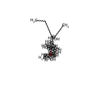 CCCCCCCC/C=C\CCCCCCCCCCCCCCCC(=O)N[C@@H](CO[C@@H]1OC(CO)[C@@H](O[C@@H]2OC(CO)[C@H](O)[C@H](O[C@@H]3OC(CO[C@]4(C(=O)O)CC(O)[C@@H](NC(C)=O)C([C@H](O)[C@H](O)CO)O4)[C@@H](O[C@H]4OC(C)[C@@H](O)C(O)[C@@H]4O)[C@H](O[C@@H]4OC(CO)[C@H](O)[C@H](O)C4O)C3NC(C)=O)C2O)[C@H](O)C1O)[C@H](O)/C=C/CCCCCCCCCCCCC